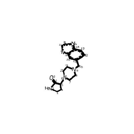 O=C1NCCC1N1CCN(Cc2ccc3nccnc3c2)CC1